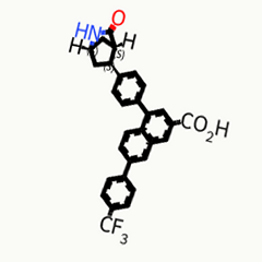 O=C(O)c1cc(-c2ccc([C@H]3C[C@H]4C[C@@H]3C(=O)N4)cc2)c2ccc(-c3ccc(C(F)(F)F)cc3)cc2c1